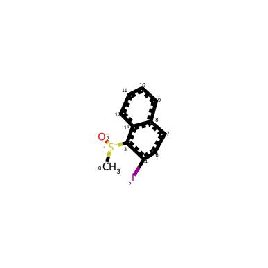 C[S+]([O-])c1c(I)ccc2ccccc12